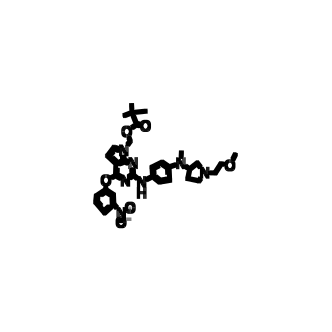 COCCN1CCC(N(C)c2ccc(Nc3nc(Oc4cccc([N+](=O)[O-])c4)c4ccn(COC(=O)C(C)(C)C)c4n3)cc2)C1